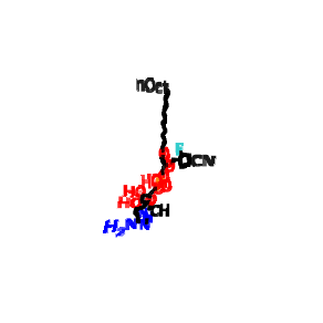 C#C[C@@]1(c2ccc3c(N)ncnn23)O[C@H](COP(=O)(O)OC[C@@H](COCCCCCCCC/C=C/CCCCCCCC)OCc2ccc(C#N)cc2F)[C@@H](O)[C@H]1O